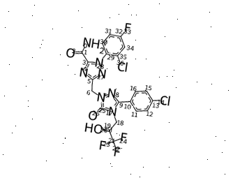 NC(=O)c1nc(Cn2nc(-c3ccc(Cl)cc3)n(C[C@H](O)C(F)(F)F)c2=O)nn1-c1ccc(F)cc1Cl